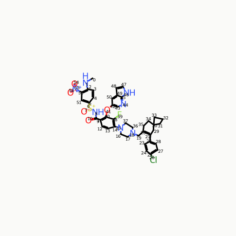 CNc1ccc([S+]([O-])NC(=O)c2ccc(N3CCN(CC4=C(c5ccc(Cl)cc5)CC5(CCC5)CC4)CC3)c(F)c2Oc2cnc3[nH]ccc3c2)cc1[N+](=O)[O-]